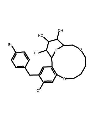 CCc1ccc(Cc2cc3c(cc2Cl)OCCCCOCC2OC3C(O)C(O)C2O)cc1